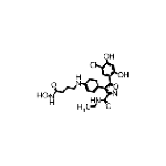 CCNC(=O)c1noc(-c2cc(Cl)c(O)cc2O)c1C1=CC=C(NCCCC(=O)NO)CC1